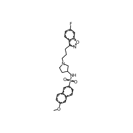 COc1ccc2cc(S(=O)(=O)NC3CCN(CCCc4noc5cc(F)ccc45)C3)ccc2c1